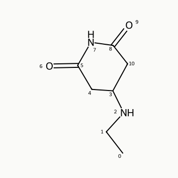 CCNC1CC(=O)NC(=O)C1